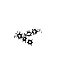 O=C([C@@H]1C[C@@H](Oc2ccccc2)CN1c1cc(C(F)(F)F)c(=O)[nH]n1)N1CCN(c2ncc(C(F)(F)F)cn2)CC1